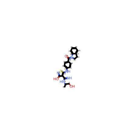 CC(CO)NC(=N)c1c(O)nsc1Nc1ccc(C(=O)N2CCc3ccccc32)cc1